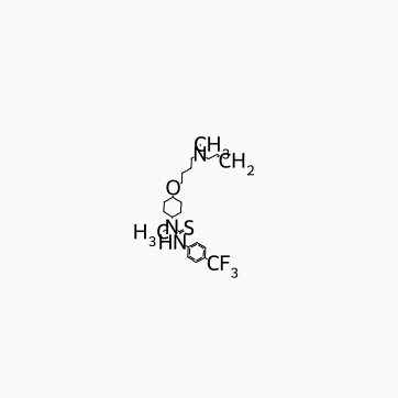 C=CCN(C)CCCCO[C@H]1CC[C@H](N(C)C(=S)Nc2ccc(C(F)(F)F)cc2)CC1